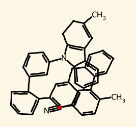 CC1=Cc2c(n(-c3cccc(-c4ccccc4-c4cccc(Cc5ccccc5-c5cc(C#N)ccc5C)c4)c3)c3ccccc23)CC1